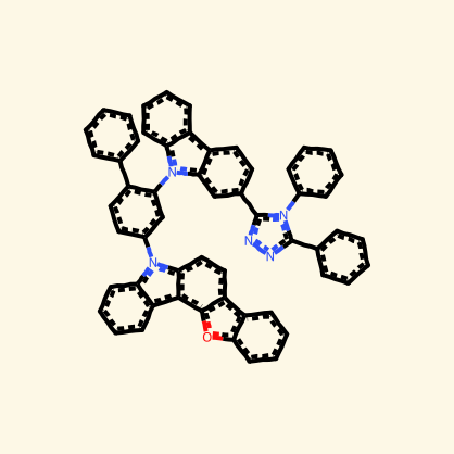 c1ccc(-c2ccc(-n3c4ccccc4c4c5oc6ccccc6c5ccc43)cc2-n2c3ccccc3c3ccc(-c4nnc(-c5ccccc5)n4-c4ccccc4)cc32)cc1